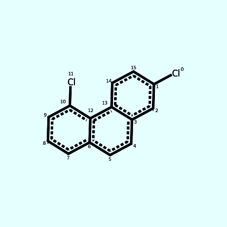 Clc1[c]c2ccc3c[c]cc(Cl)c3c2cc1